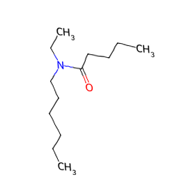 CCCCCCN(CC)C(=O)CCCC